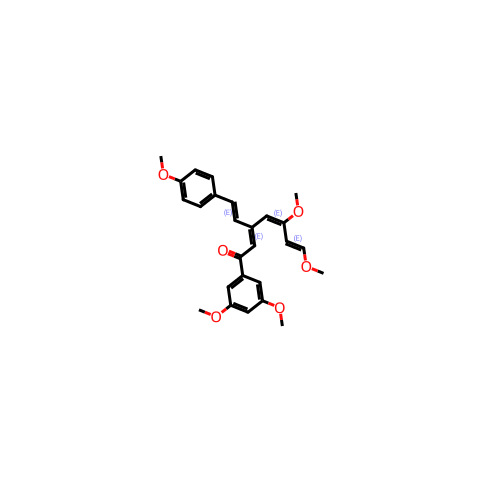 CO/C=C/C(=C\C(\C=C\c1ccc(OC)cc1)=C\C(=O)c1cc(OC)cc(OC)c1)OC